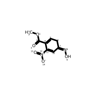 COC(=O)C1=CCC(=NO)C=C1[N+](=O)[O-]